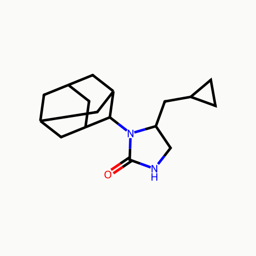 O=C1NCC(CC2CC2)N1C1C2CC3CC(C2)CC1C3